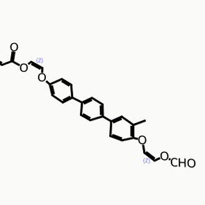 C=CC(=O)O/C=C\Oc1ccc(-c2ccc(-c3ccc(O/C=C\OC=O)c(C)c3)cc2)cc1